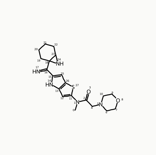 CN(C(=O)CN1CCOCC1)c1cc2[nH]c(C(=N)C34CCCCC3N4)cc2s1